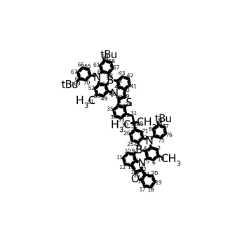 Cc1cc2c3c(c1)-n1c4c(cccc4c4oc5ccccc5c41)B3c1ccc(C(C)(C)Cc3cccc4c3sc3c5cccc6c5n(c43)-c3cc(C)cc4c3B6c3ccc(C(C)(C)C)cc3N4c3cccc(C(C)(C)C)c3)cc1N2c1cccc(C(C)(C)C)c1